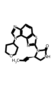 CC#C[C@@H]1CNC(=O)N1c1nc2c(ccc3ncn(C4CCOCC4)c32)s1